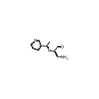 C/C(=N\C(C=O)=C\N)c1cccnc1